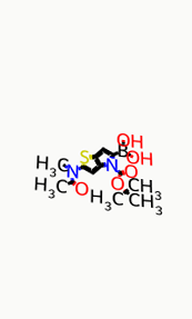 CC(=O)N(C)c1cc2c(cc(B(O)O)n2C(=O)OC(C)(C)C)s1